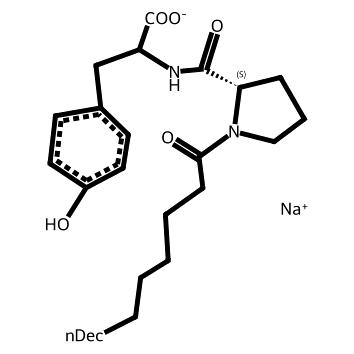 CCCCCCCCCCCCCCCC(=O)N1CCC[C@H]1C(=O)NC(Cc1ccc(O)cc1)C(=O)[O-].[Na+]